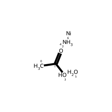 CC(=O)O.N.O.[Ni]